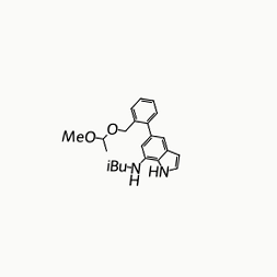 CCC(C)Nc1cc(-c2ccccc2COC(C)OC)cc2cc[nH]c12